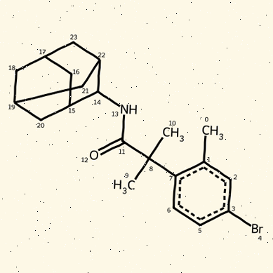 Cc1cc(Br)ccc1C(C)(C)C(=O)NC1C2CC3CC(C2)CC1C3